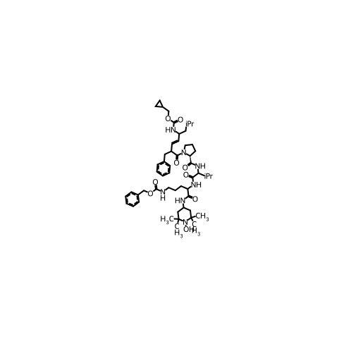 CC(C)CC(/C=C/C(Cc1ccccc1)C(=O)N1CCC[C@H]1C(=O)NC(C(=O)NC(CCCNC(=O)OCc1ccccc1)C(=O)NC1CC(C)(C)N(O)C(C)(C)C1)C(C)C)NC(=O)OCC1CC1